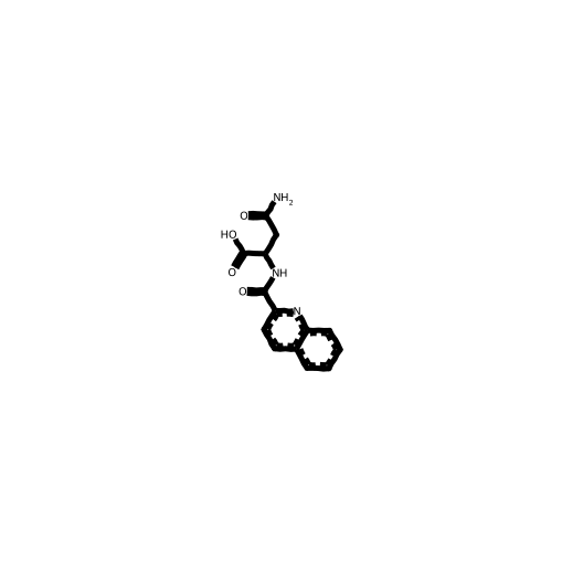 NC(=O)CC(NC(=O)c1ccc2ccccc2n1)C(=O)O